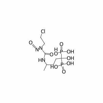 CC(CCC(O)(P(=O)(O)O)P(=O)(O)O)NC(=O)N(CCCl)N=O